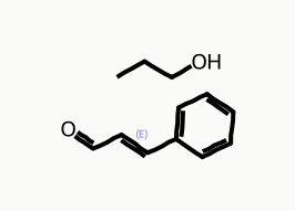 CCCO.O=C/C=C/c1ccccc1